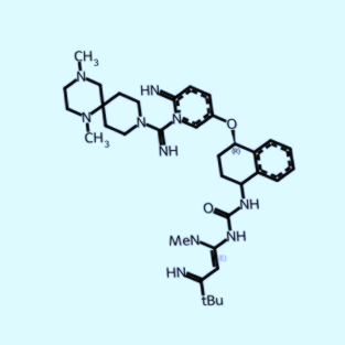 CN/C(=C\C(=N)C(C)(C)C)NC(=O)NC1CC[C@@H](Oc2ccc(=N)n(C(=N)N3CCC4(CC3)CN(C)CCN4C)c2)c2ccccc21